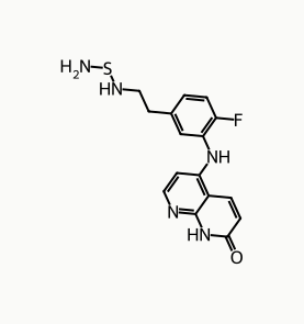 NSNCCc1ccc(F)c(Nc2ccnc3[nH]c(=O)ccc23)c1